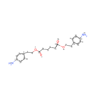 Nc1ccc(CCOC(=O)CCCCC(=O)OCCc2ccc(N)cc2)cc1